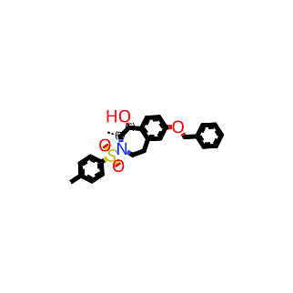 Cc1ccc(S(=O)(=O)N2CCc3cc(OCc4ccccc4)ccc3[C@H](O)[C@H]2C)cc1